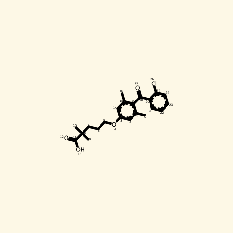 Cc1cc(OCCCC(C)(C)C(=O)O)cc(C)c1C(=O)c1ccccc1Cl